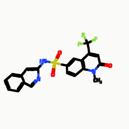 Cn1c(=O)cc(C(F)(F)F)c2cc(S(=O)(=O)Nc3cc4ccccc4cn3)ccc21